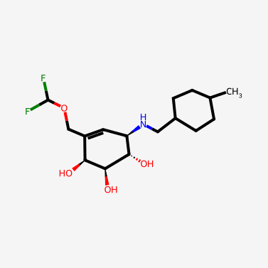 CC1CCC(CN[C@@H]2C=C(COC(F)F)[C@H](O)[C@H](O)[C@H]2O)CC1